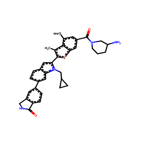 COc1cc(C(=O)N2CCCC(N)C2)cc2sc(-c3cc4ccc(-c5ccc6c(c5)CNC6=O)cc4n3CC3CC3)c(C)c12